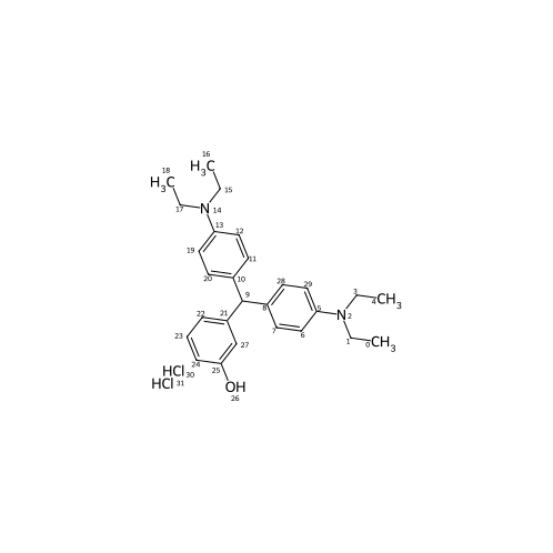 CCN(CC)c1ccc(C(c2ccc(N(CC)CC)cc2)c2cccc(O)c2)cc1.Cl.Cl